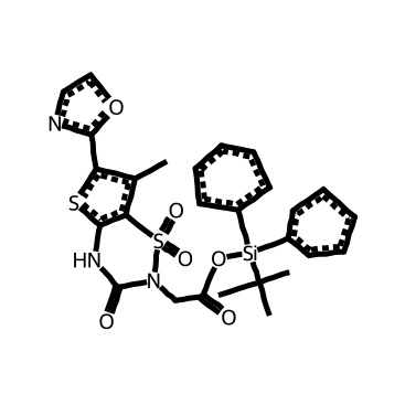 Cc1c(-c2ncco2)sc2c1S(=O)(=O)N(CC(=O)O[Si](c1ccccc1)(c1ccccc1)C(C)(C)C)C(=O)N2